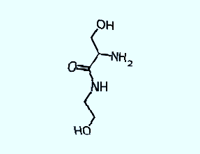 NC(CO)C(=O)NCCO